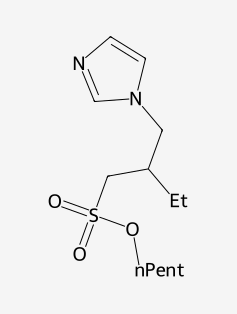 CCCCCOS(=O)(=O)CC(CC)Cn1ccnc1